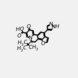 CC(C)(C)[C@@H]1Cc2c(cc(-c3cn[nH]c3)c3ccoc23)-c2cc(=O)c(C(=O)O)cn21